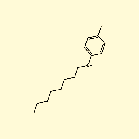 [CH2]c1ccc(NCCCCCCCC)cc1